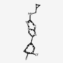 Fc1ccc(-c2cn3nc(NCC4CC4)sc3n2)cc1Cl